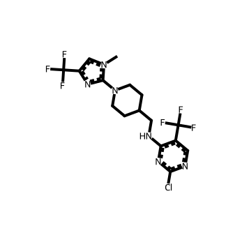 Cn1cc(C(F)(F)F)nc1N1CCC(CNc2nc(Cl)ncc2C(F)(F)F)CC1